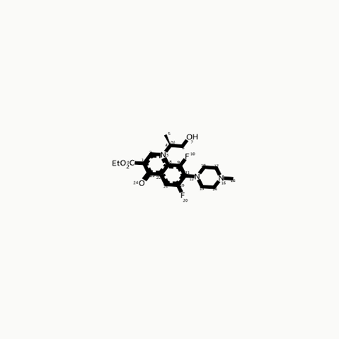 CCOC(=O)c1cn([C@@H](C)CO)c2c(F)c(N3CCN(C)CC3)c(F)cc2c1=O